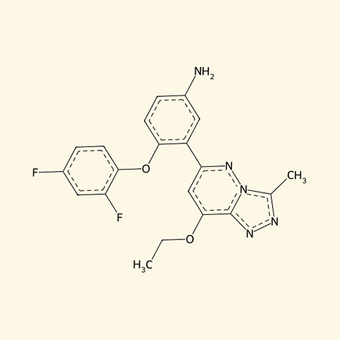 CCOc1cc(-c2cc(N)ccc2Oc2ccc(F)cc2F)nn2c(C)nnc12